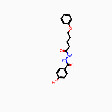 O=C(CCCCOc1ccccc1)NNC(=O)c1ccc(O)cc1